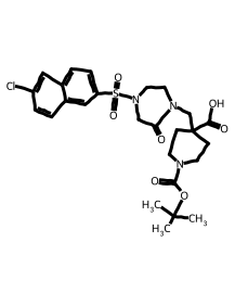 CC(C)(C)OC(=O)N1CCC(CN2CCN(S(=O)(=O)c3ccc4cc(Cl)ccc4c3)CC2=O)(C(=O)O)CC1